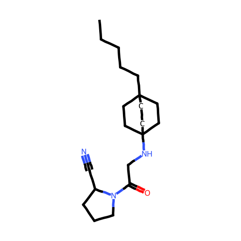 CCCCCC12CCC(NCC(=O)N3CCCC3C#N)(CC1)CC2